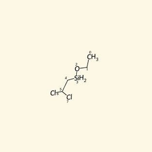 CCO[SiH2]CC(Cl)Cl